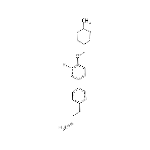 C=CCCc1ccc(-c2ccc(OCC3C=CC(C)CC3)c(F)c2)cc1